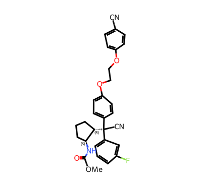 COC(=O)N[C@H]1CCC[C@@H]1C(C#N)(c1ccc(OCCOc2ccc(C#N)cc2)cc1)c1cccc(F)c1